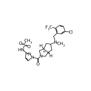 CN(Cc1cc(Cl)ccc1C(F)(F)F)C1C[C@@H]2CN(C(=O)n3ccc(NS(C)(=O)=O)n3)C[C@@H]2C1